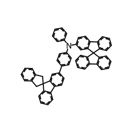 c1ccc(N(c2ccc(-c3ccc4c(c3)C3(Cc5ccccc5C3)c3ccccc3-4)cc2)c2ccc3c(c2)C2(c4ccccc4-c4ccccc42)c2ccccc2-3)cc1